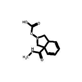 CNC(=O)C12C=CC=CC1CN(OC(=O)O)C2